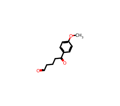 COc1ccc(C(=O)CCCC=O)cc1